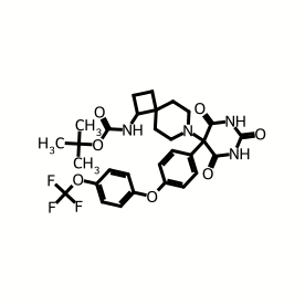 CC(C)(C)OC(=O)NC1CCC12CCN(C1(c3ccc(Oc4ccc(OC(F)(F)F)cc4)cc3)C(=O)NC(=O)NC1=O)CC2